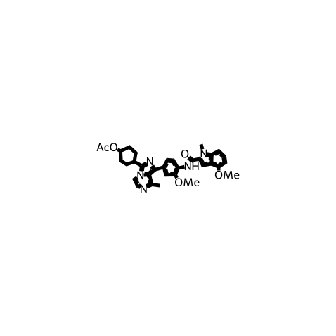 COc1cc(-c2nc(C3CCC(OC(C)=O)CC3)n3ccnc(C)c23)ccc1NC(=O)c1cc2c(OC)cccc2n1C